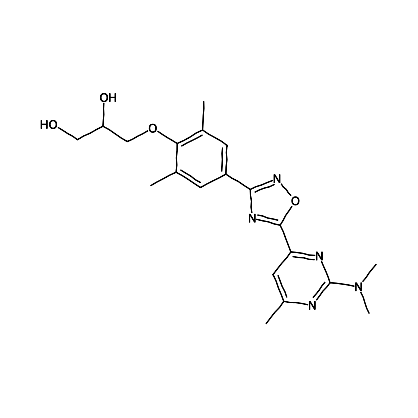 Cc1cc(-c2nc(-c3cc(C)c(OCC(O)CO)c(C)c3)no2)nc(N(C)C)n1